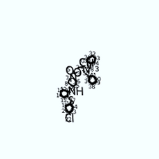 C[C@@H](COC(=O)N1CCC(Nc2ccccc2Sc2ccc(Cl)cc2)CC1)N(Cc1ccccc1)Cc1ccccc1